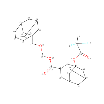 CC(F)(F)C(=O)OC12CC3CC(C1)CC(C(=O)OCOCC14CC5CC(CC(C5)C1)C4)(C3)C2